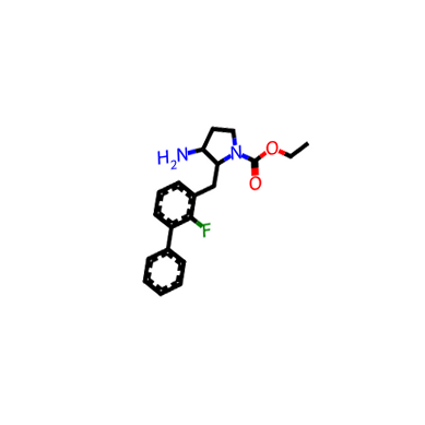 CCOC(=O)N1CCC(N)C1Cc1cccc(-c2ccccc2)c1F